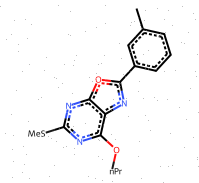 CCCOc1nc(SC)nc2oc(-c3cccc(C)c3)nc12